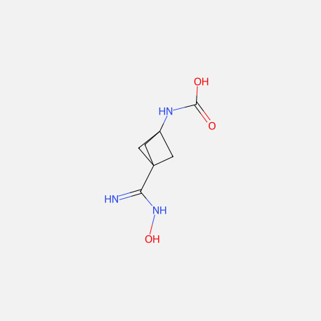 N=C(NO)C12CC(NC(=O)O)(C1)C2